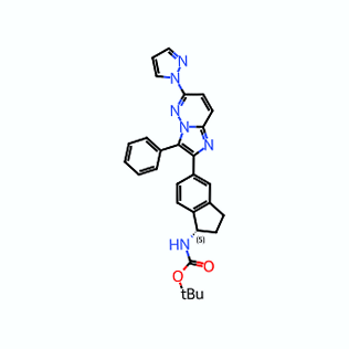 CC(C)(C)OC(=O)N[C@H]1CCc2cc(-c3nc4ccc(-n5cccn5)nn4c3-c3ccccc3)ccc21